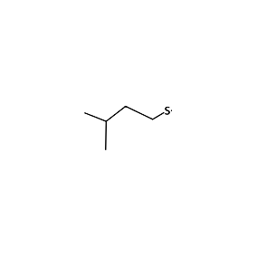 CC(C)CC[S]